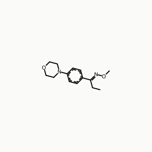 CCC(=NOC)c1ccc(N2CCOCC2)cc1